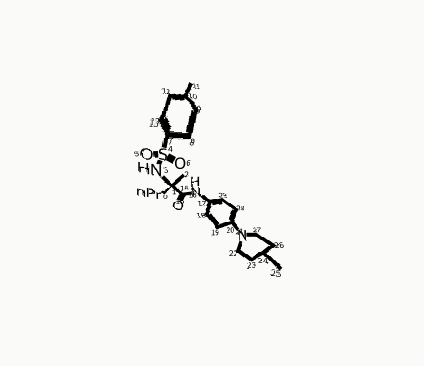 CCC[C@](C)(NS(=O)(=O)c1ccc(C)cc1)C(=O)Nc1ccc(N2CCC(C)CC2)cc1